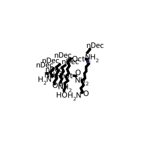 CCCCCCCC(N)=O.CCCCCCCC/C=C\CCCCCCCC(N)=O.CCCCCCCCCCCCCCCCCCCCO.CCCCCCCCCCCCCCCCN.CCCCCCCCCCCCCCCCO.CCCCCCCCCCCCCN.CCCCCCCCCCCCN.CCCCCCCCCCN